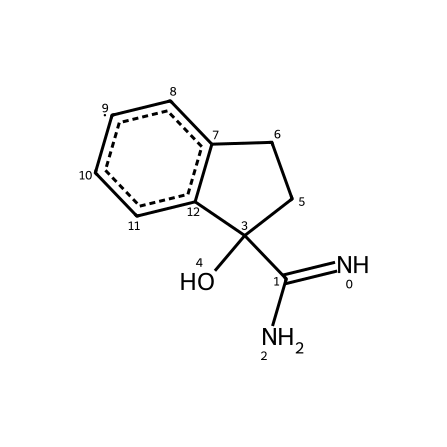 N=C(N)C1(O)CCc2c[c]ccc21